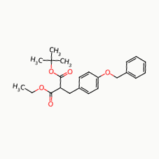 CCOC(=O)C(Cc1ccc(OCc2ccccc2)cc1)C(=O)OC(C)(C)C